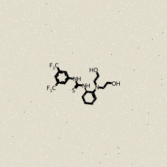 OCCN(CCO)C1=CCCC[C@H]1NC(=S)Nc1cc(C(F)(F)F)cc(C(F)(F)F)c1